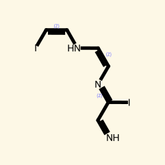 N=C/C(I)=N/C=C\N/C=C\I